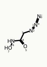 [N-]=[N+]=NCC(=O)NO